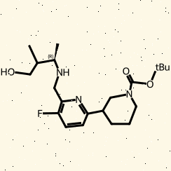 CC(CO)[C@@H](C)NCc1nc(C2CCCN(C(=O)OC(C)(C)C)C2)ccc1F